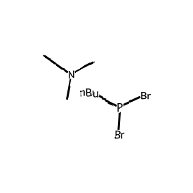 CCCCP(Br)Br.CN(C)C